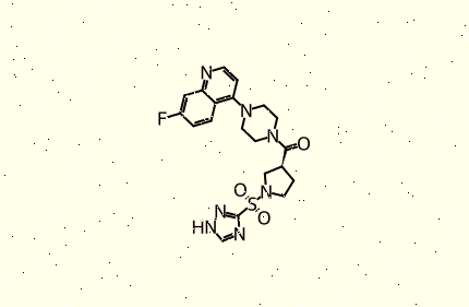 O=C([C@H]1CCN(S(=O)(=O)c2nc[nH]n2)C1)N1CCN(c2ccnc3cc(F)ccc23)CC1